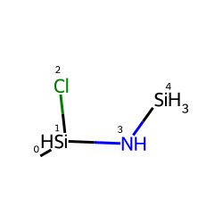 C[SiH](Cl)N[SiH3]